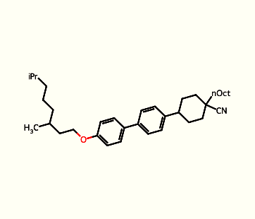 CCCCCCCCC1(C#N)CCC(c2ccc(-c3ccc(OCCC(C)CCCC(C)C)cc3)cc2)CC1